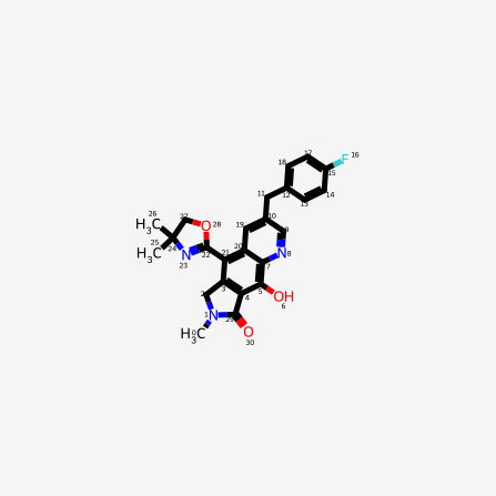 CN1Cc2c(c(O)c3ncc(Cc4ccc(F)cc4)cc3c2C2=NC(C)(C)CO2)C1=O